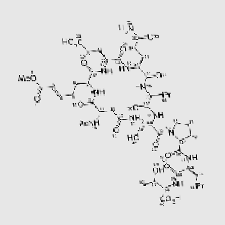 COC(=O)/C=C/CC[C@H](NC(=O)[C@H](CC(N)=O)NC(C)=O)C(=O)N[C@@H](CCC(=O)O)C(=O)N[C@@H](CCC(N)=O)C(=O)N[C@H](C(=O)N[C@@H](CO)C(=O)N1CCC[C@H]1C(=O)N[C@@H](CC(C)C)C(=O)N[C@H](C(=O)O)[C@@H](C)O)C(C)C